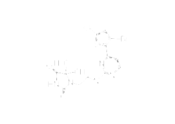 CC1(C)C(=O)NC(=O)N1CCNc1nccc(-c2sc(Cl)cc2Br)n1